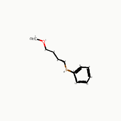 O=COCCCCSc1ccccc1